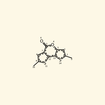 Cc1cc2oc(=O)c3cc(C)sc3c2s1